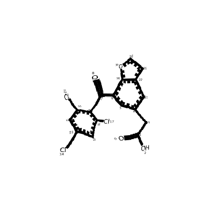 O=C(O)Cc1cc(C(=O)c2c(Cl)cc(Cl)cc2Cl)c2occc2c1